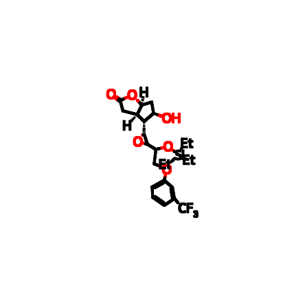 CC[Si](CC)(CC)OC(COc1cccc(C(F)(F)F)c1)C1O[C@@H]1[C@@H]1[C@H]2CC(=O)O[C@H]2C[C@H]1O